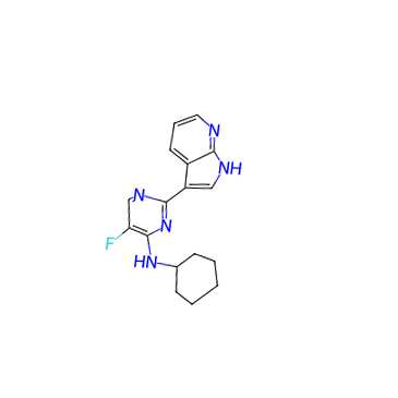 Fc1cnc(-c2c[nH]c3ncccc23)nc1NC1CCCCC1